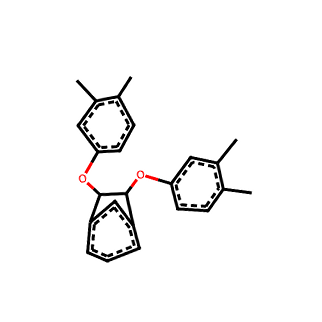 Cc1ccc(OC2c3cccc(c3)C2Oc2ccc(C)c(C)c2)cc1C